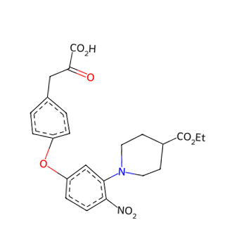 CCOC(=O)C1CCN(c2cc(Oc3ccc(CC(=O)C(=O)O)cc3)ccc2[N+](=O)[O-])CC1